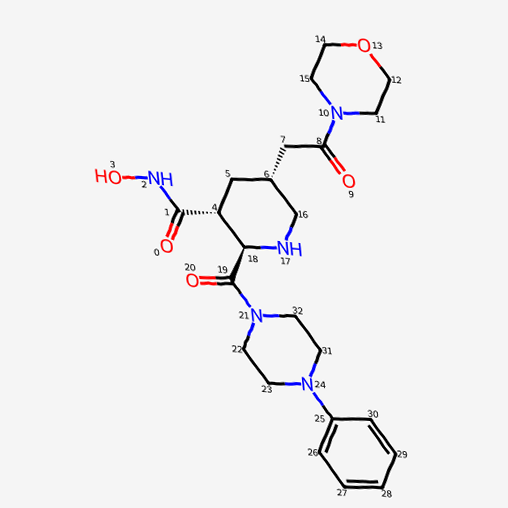 O=C(NO)[C@@H]1C[C@H](CC(=O)N2CCOCC2)CN[C@H]1C(=O)N1CCN(c2ccccc2)CC1